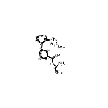 CS(=O)(=O)O.N#Cc1sccc1-c1cccc(C(=O)N=C(N)N)c1